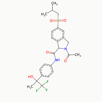 CC(=O)N1Cc2cc(S(=O)(=O)CC(C)C)ccc2C1C(=O)Nc1ccc(C(C)(O)C(F)(F)F)cc1